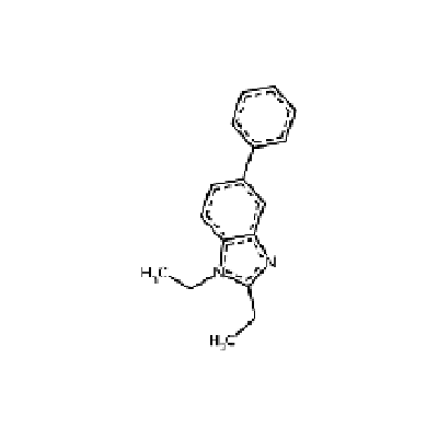 CCc1nc2cc(-c3ccccc3)ccc2n1CC